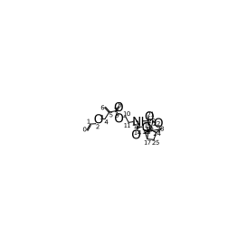 C=CCOCC(=C)C(=O)OCCNC(=O)OC1C2CC3C(=O)OC1C3C2